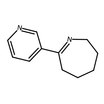 c1cncc(C2=NCCCCC2)c1